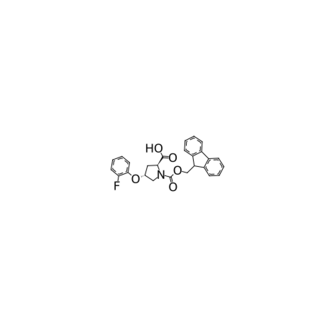 O=C(O)[C@@H]1C[C@@H](Oc2ccccc2F)CN1C(=O)OCC1c2ccccc2-c2ccccc21